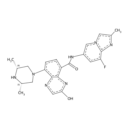 Cc1cn2cc(NC(=O)c3ccc(N4C[C@@H](C)N[C@@H](C)C4)c4ncc(O)nc34)cc(F)c2n1